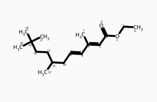 CCOC(=O)/C=C(C)/C=C/CC(C)CCC(C)(C)C